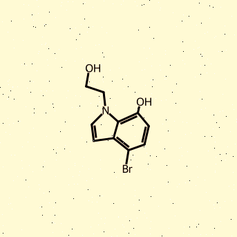 OCCn1ccc2c(Br)ccc(O)c21